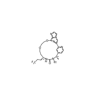 CCN1C(=O)N[C@@H](CCC(F)(F)F)CCOCCOc2nc(cn3ccnc23)-c2cc(ccn2)[C@H]1C